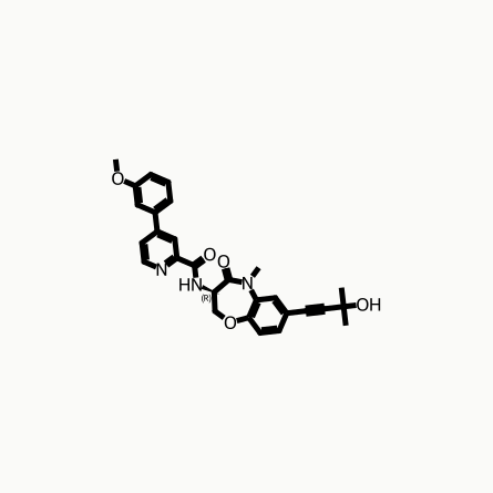 COc1cccc(-c2ccnc(C(=O)N[C@@H]3COc4ccc(C#CC(C)(C)O)cc4N(C)C3=O)c2)c1